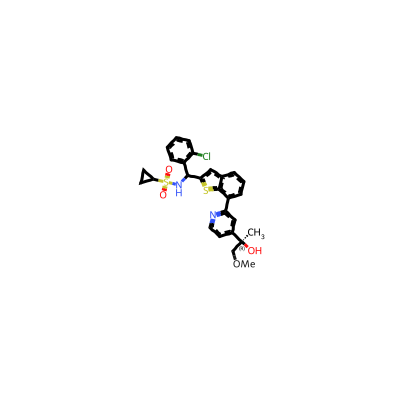 COC[C@](C)(O)c1ccnc(-c2cccc3cc(C(NS(=O)(=O)C4CC4)c4ccccc4Cl)sc23)c1